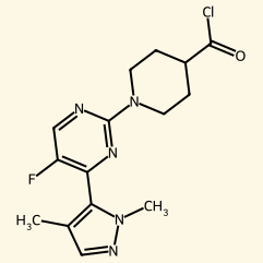 Cc1cnn(C)c1-c1nc(N2CCC(C(=O)Cl)CC2)ncc1F